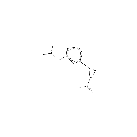 O=C(O)C1CC1c1cccc(OC(F)F)c1